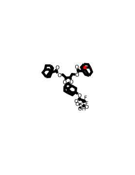 O=C(OCC1OC2(OC1COC(=O)C13CC4CC(CC(C4)C1)C3)C1CC3CC2CC(OC(=O)C(F)(F)S(=O)(=O)O)(C3)C1)C12CC3CC(CC(C3)C1)C2